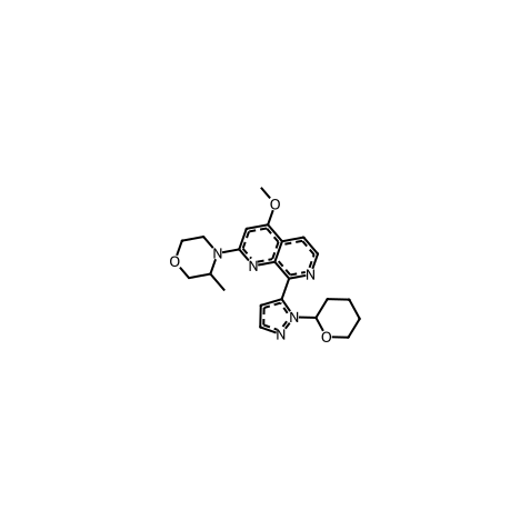 COc1cc(N2CCOCC2C)nc2c(-c3ccnn3C3CCCCO3)nccc12